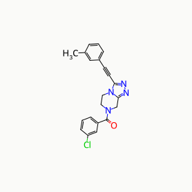 Cc1cccc(C#Cc2nnc3n2CCN(C(=O)c2cccc(Cl)c2)C3)c1